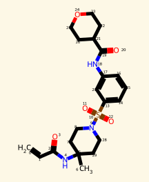 C=CC(=O)NC1(C)CCN(S(=O)(=O)c2cccc(NC(=O)C3CCOCC3)c2)CC1